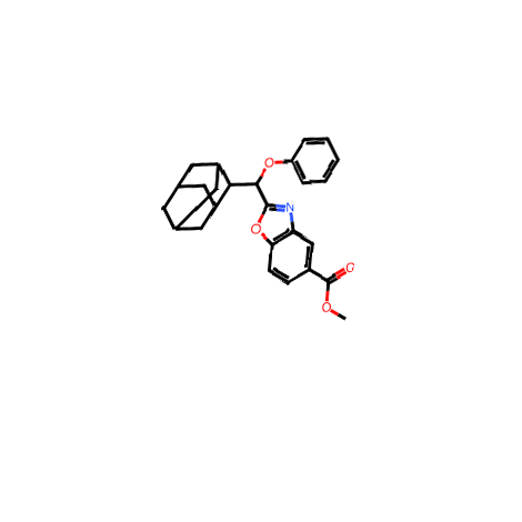 COC(=O)c1ccc2oc(C(Oc3ccccc3)C3C4CC5CC(C4)CC3C5)nc2c1